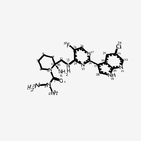 CCCN(N)C(=O)N1CCCC[C@]1(N)CNc1nc(-c2c[nH]c3ncc(Cl)cc23)ncc1F